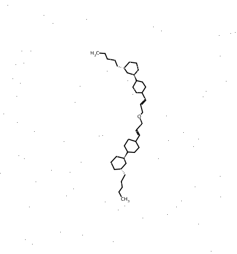 CCCCC[C@@H]1CCC[C@@H](C2CCC(/C=C/COC/C=C/C3CCC([C@@H]4CCC[C@@H](CCCCC)C4)CC3)CC2)C1